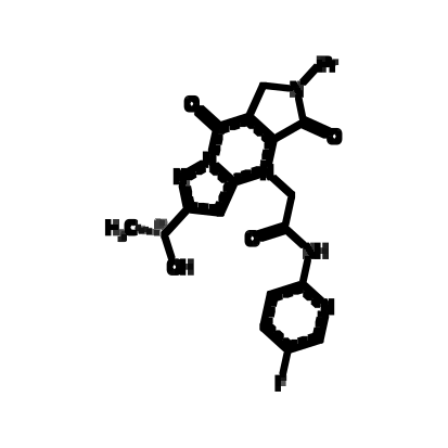 CC(C)N1Cc2c(n(CC(=O)Nc3ccc(F)cn3)c3cc([C@@H](C)O)nn3c2=O)C1=O